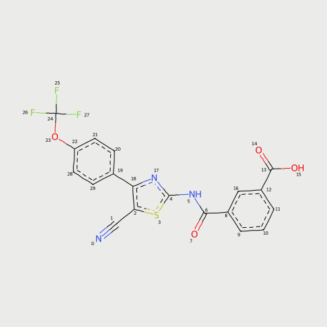 N#Cc1sc(NC(=O)c2cccc(C(=O)O)c2)nc1-c1ccc(OC(F)(F)F)cc1